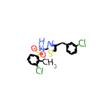 Cc1c(Cl)cccc1S(=O)(=O)Nc1nc(Cc2cccc(Cl)c2)cs1